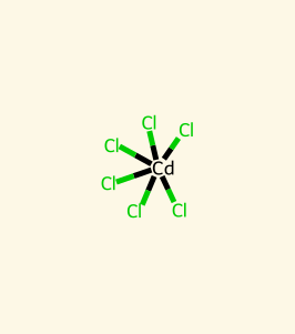 [Cl][Cd]([Cl])([Cl])([Cl])([Cl])[Cl]